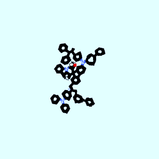 C=C(c1ccc(N(c2ccc3c(c2)C2(c4cc(/C=C(\Cc5cccc(-c6ccccc6)c5)c5ccc(N(c6ccccc6)c6ccccc6)cc5)ccc4-3)c3ccccc3-n3c4ccccc4c4cccc2c43)C2C#CC(c3ccccc3)=CC=C2)cc1)C(c1ccccc1)c1ccccc1